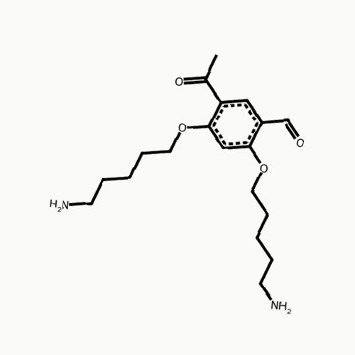 CC(=O)c1cc(C=O)c(OCCCCCN)cc1OCCCCCN